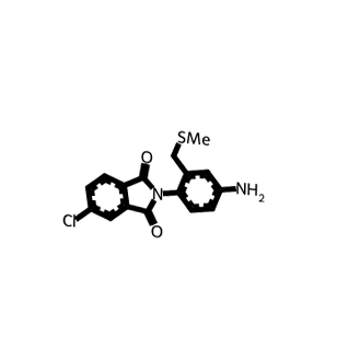 CSCc1cc(N)ccc1N1C(=O)c2ccc(Cl)cc2C1=O